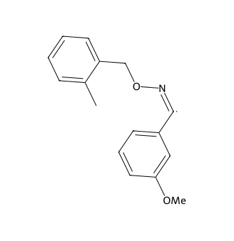 COc1cccc(/[C]=N\OCc2ccccc2C)c1